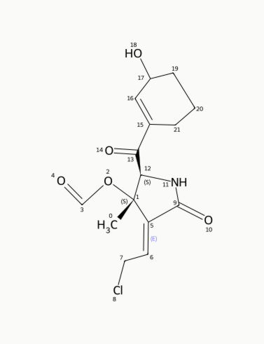 C[C@]1(OC=O)/C(=C\CCl)C(=O)N[C@@H]1C(=O)C1=CC(O)CCC1